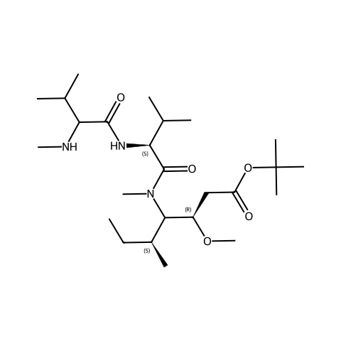 CC[C@H](C)C([C@@H](CC(=O)OC(C)(C)C)OC)N(C)C(=O)[C@@H](NC(=O)C(NC)C(C)C)C(C)C